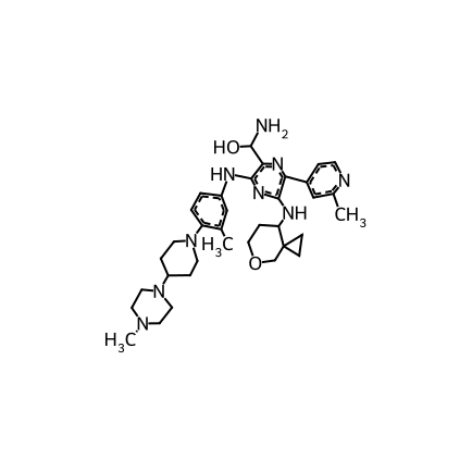 Cc1cc(-c2nc(C(N)O)c(Nc3ccc(N4CCC(N5CCN(C)CC5)CC4)c(C)c3)nc2NC2CCOCC23CC3)ccn1